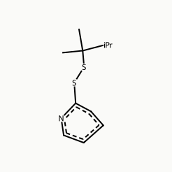 CC(C)C(C)(C)SSc1ccccn1